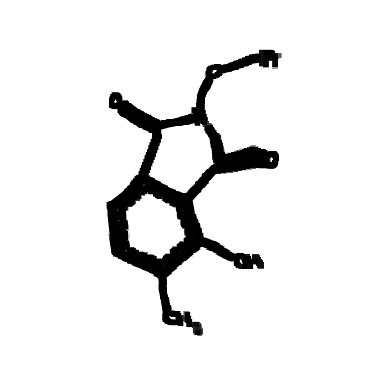 Cc1ccc2c(c1O)C(=O)N(OC(C)C)C2=O